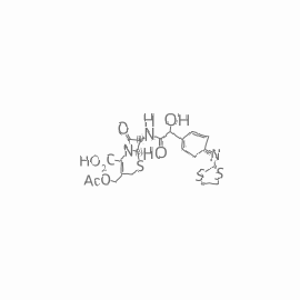 CC(=O)OCC1=C(C(=O)O)N2C(=O)[C@@H](NC(=O)C(O)C3=CCC(=NC4SCCS4)C=C3)[C@H]2SC1